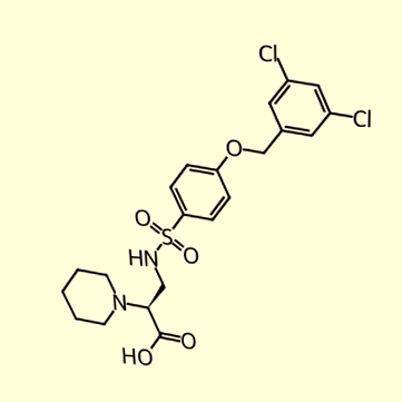 O=C(O)[C@H](CNS(=O)(=O)c1ccc(OCc2cc(Cl)cc(Cl)c2)cc1)N1CCCCC1